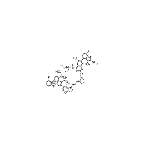 CCC1CCC(CNc2nc(OC[C@@H]3CCCN3CCC[C@H]3CCC(=O)N3[C@H](C(=O)N3C[C@H](O)C[C@H]3C(=O)N[C@@H](CO)c3ccc(-c4c(F)cccc4F)cc3)C(C)(C)C)nc3c(F)c(-c4ccc(F)c5sc(N)c(C#N)c45)c(C(F)(F)F)cc23)N1